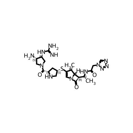 C[C@@H](NC(=O)Cn1cnnn1)[C@H]1C(=O)N2C=C(S[C@@H]3CN[C@H](C(=O)N4C[C@H](N)[C@H](NC(=N)N)C4)C3)[C@H](C)[C@H]12